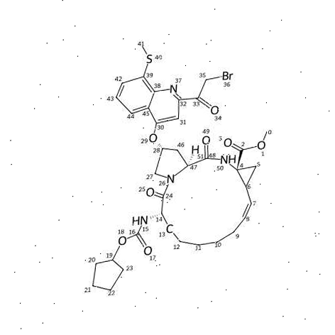 COC(=O)[C@@]12CC1/C=C\CCCCC[C@H](NC(=O)OC1CCCC1)C(=O)N1C[C@H](Oc3cc(C(=O)CBr)nc4c(SC)cccc34)C[C@H]1C(=O)N2